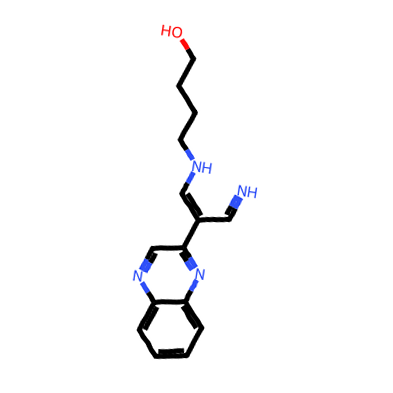 N=C/C(=C\NCCCCO)c1cnc2ccccc2n1